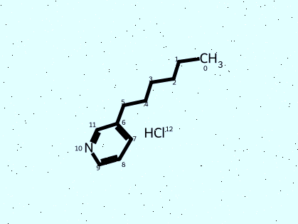 CCCCCCc1cccnc1.Cl